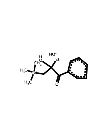 CCC(O)(C[N+](C)(C)C)C(=O)c1ccccc1.[OH-]